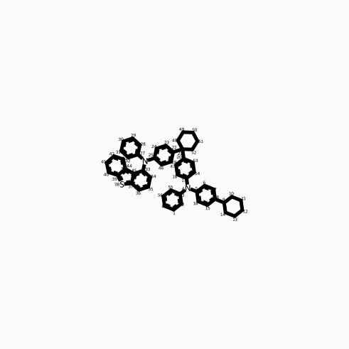 c1ccc(N(c2ccc(C3CCCCC3)cc2)c2ccc(C3(c4ccc(N(c5ccccc5)c5cccc6sc7ccccc7c56)cc4)CCCCC3)cc2)cc1